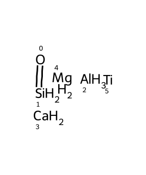 O=[SiH2].[AlH3].[CaH2].[MgH2].[Ti]